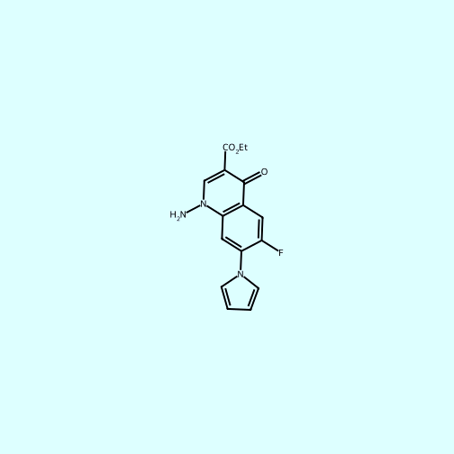 CCOC(=O)c1cn(N)c2cc(-n3cccc3)c(F)cc2c1=O